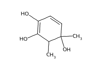 CC1C(O)=C(O)C=CC1(C)O